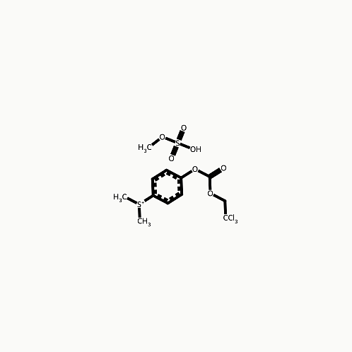 COS(=O)(=O)O.C[S+](C)c1ccc(OC(=O)OCC(Cl)(Cl)Cl)cc1